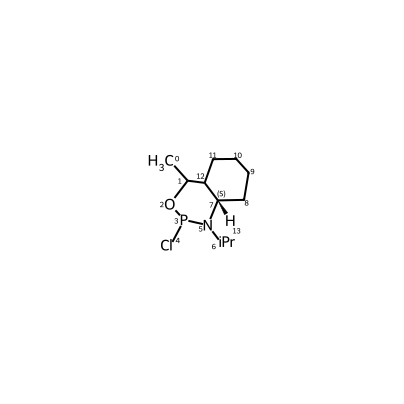 CC1OP(Cl)N(C(C)C)[C@H]2CCCCC12